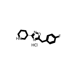 Cl.Fc1ccc(Cc2nc([C@H]3CCCNC3)no2)cc1